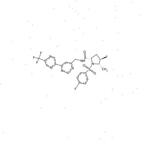 C[C@H]1[C@H](F)C[C@@H](C(=O)NCc2cc(-c3cnc(C(F)(F)F)cn3)ncn2)N1S(=O)(=O)c1ccc(F)cc1